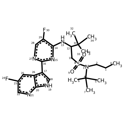 CCCN(C(C)(C)C)S(=O)(=O)CC(Nc1nc(-c2c[nH]c3ncc(F)cc23)ncc1F)C(C)(C)C